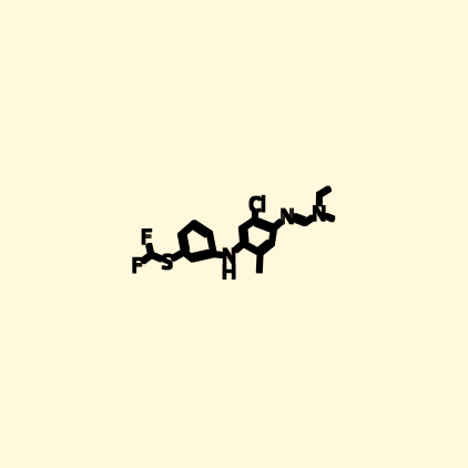 CCN(C)C=Nc1cc(C)c(Nc2cccc(SC(F)F)c2)cc1Cl